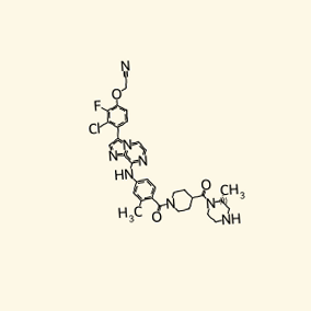 Cc1cc(Nc2nccn3c(-c4ccc(OCC#N)c(F)c4Cl)cnc23)ccc1C(=O)N1CCC(C(=O)N2CCNC[C@H]2C)CC1